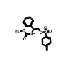 Cc1ccc(S(=O)(=O)OCC(NC(=O)OC(C)(C)C)c2ccccc2)cc1